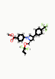 C=CC(F)(F)OC[C@@H]1CC(c2ccc(C(F)(F)F)cc2)CN1c1ccc(C(=O)OC)cc1